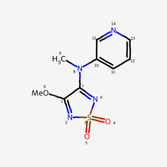 COC1=NS(=O)(=O)N=C1N(C)c1cccnc1